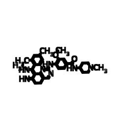 CN/C(=C1\C(=N)CCc2cnc(Nc3ccc(C(=O)NC4CCN(C)CC4)cc3OC)nc21)c1ccc(C)cc1C